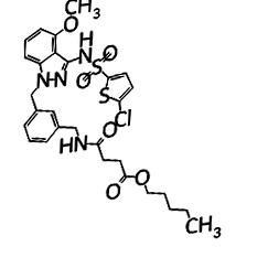 CCCCCOC(=O)CCC(=O)NCc1cccc(Cn2nc(NS(=O)(=O)c3ccc(Cl)s3)c3c(OC)cccc32)c1